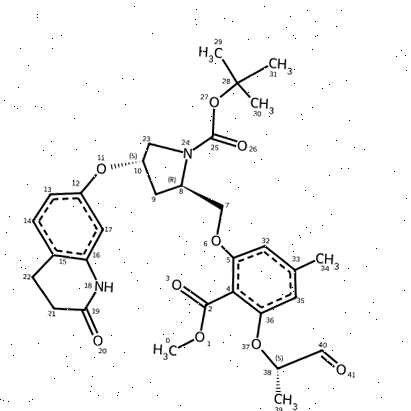 COC(=O)c1c(OC[C@H]2C[C@H](Oc3ccc4c(c3)NC(=O)CC4)CN2C(=O)OC(C)(C)C)cc(C)cc1O[C@@H](C)C=O